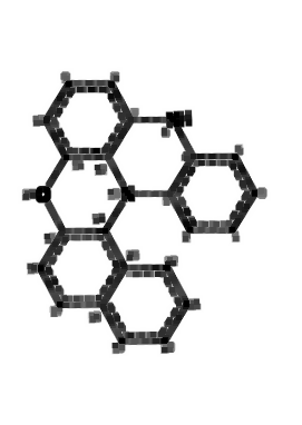 c1ccc2c(c1)Nc1cccc3c1N2c1c(ccc2ccccc12)O3